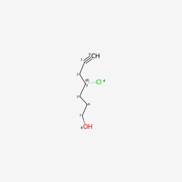 C#CC[C@H](Cl)CCCO